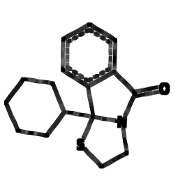 O=C1c2ccccc2C2(C3CCCCC3)SCCN12